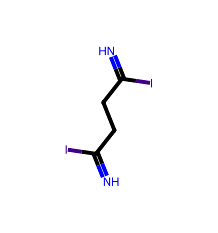 N=C(I)CCC(=N)I